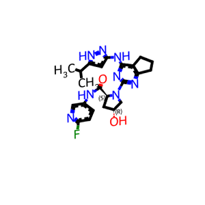 CC(C)c1cc(Nc2nc(N3C[C@H](O)C[C@H]3C(=O)Nc3ccc(F)nc3)nc3c2CCC3)n[nH]1